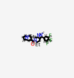 CCC1Cc2c(nn(C)c2-c2cc(F)c(F)c(F)c2)C(CC)N1C(=O)c1ccn2cccc2c1